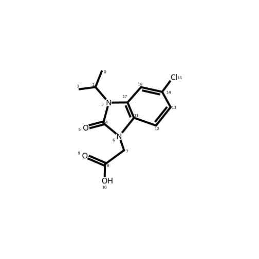 CC(C)n1c(=O)n(CC(=O)O)c2ccc(Cl)cc21